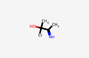 CCC(C)(O)C(C)=N